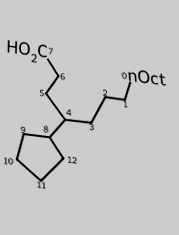 CCCCCCCCCCCC(CCC(=O)O)C1CCCC1